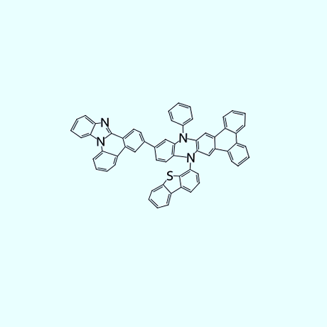 c1ccc(N2c3cc(-c4ccc5c(c4)c4ccccc4n4c6ccccc6nc54)ccc3N(c3cccc4c3sc3ccccc34)c3cc4c5ccccc5c5ccccc5c4cc32)cc1